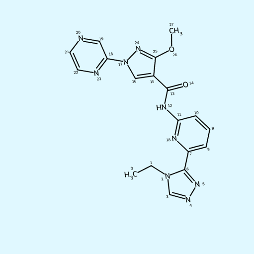 CCn1cnnc1-c1cccc(NC(=O)c2cn(-c3cnccn3)nc2OC)n1